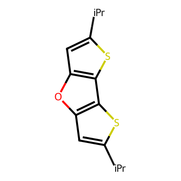 CC(C)c1cc2oc3cc(C(C)C)sc3c2s1